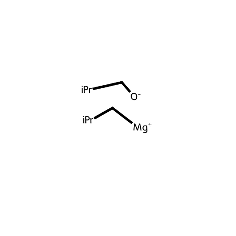 CC(C)C[O-].CC(C)[CH2][Mg+]